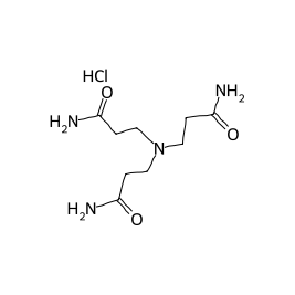 Cl.NC(=O)CCN(CCC(N)=O)CCC(N)=O